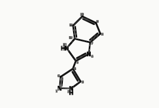 [c]1n[nH]cc1-c1nc2ccccc2[nH]1